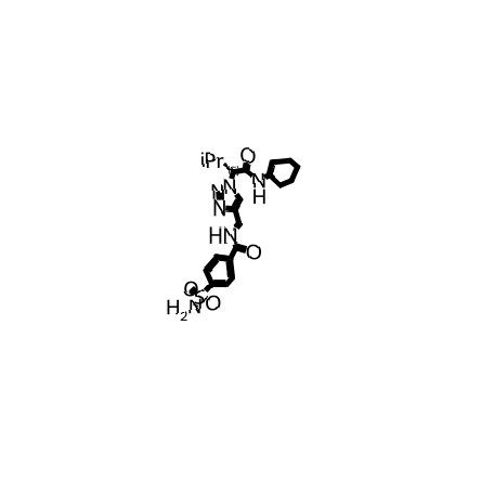 CC(C)[C@@H](C(=O)NC1CCCCC1)n1cc(CNC(=O)c2ccc(S(N)(=O)=O)cc2)nn1